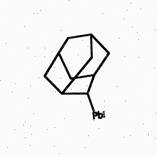 [Pb][CH]1C2CC3CC(C2)CC1C3